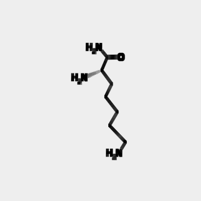 NCCCCC[C@H](N)C(N)=O